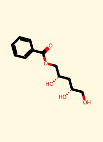 O=C(OC[C@@H](O)C[C@@H](O)CO)c1ccccc1